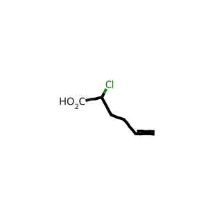 C=CCCC(Cl)C(=O)O